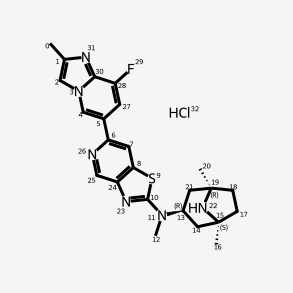 Cc1cn2cc(-c3cc4sc(N(C)[C@@H]5C[C@]6(C)CC[C@](C)(C5)N6)nc4cn3)cc(F)c2n1.Cl